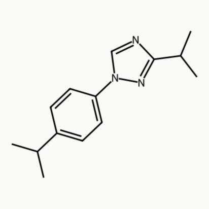 CC(C)c1ccc(-n2cnc(C(C)C)n2)cc1